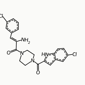 N/C(=C\c1cccc(Cl)c1)C(=O)N1CCN(C(=O)c2cc3cc(Cl)ccc3[nH]2)CC1